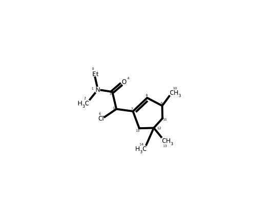 CCN(C)C(=O)C(Cl)C1=CC(C)CC(C)(C)C1